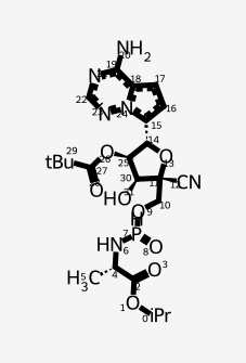 CC(C)OC(=O)[C@H](C)N[PH](=O)OC[C@@]1(C#N)O[C@@H](c2ccc3c(N)ncnn23)[C@H](OC(=O)C(C)(C)C)[C@@H]1O